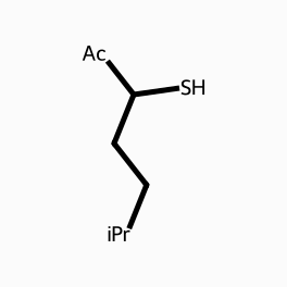 CC(=O)C(S)CCC(C)C